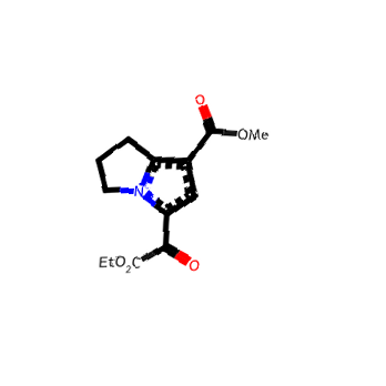 CCOC(=O)C(=O)c1cc(C(=O)OC)c2n1CCC2